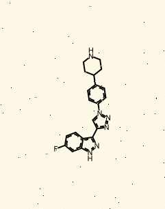 Fc1ccc2c(-c3cn(-c4ccc(C5CCNCC5)cc4)nn3)n[nH]c2c1